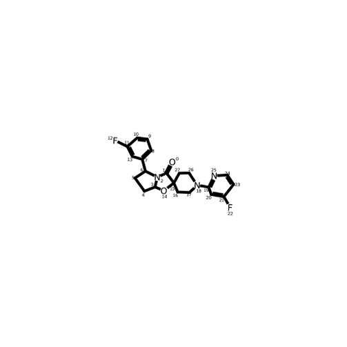 O=C1N2C(CCC2c2cccc(F)c2)OC12CCN(c1cc(F)ccn1)CC2